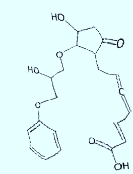 O=C(O)C=CC=C=CCC1C(=O)CC(O)C1OCC(O)COc1ccccc1